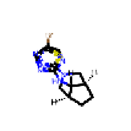 Brc1nnc(N2C[C@H]3CC[C@@H](C2)[C@@H]3Nc2ncccn2)s1